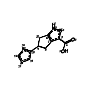 O=C(O)c1n[nH]c2c1CC(c1cscn1)C2